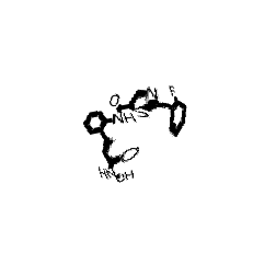 O=C(/C=C/c1ccccc1NC(=O)c1cnc(-c2ccccc2F)s1)NO